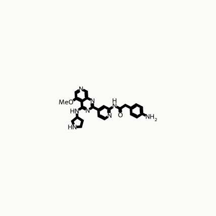 COc1cncc2nc(-c3ccnc(NC(=O)Cc4ccc(N)cc4)c3)nc(NC3CCNC3)c12